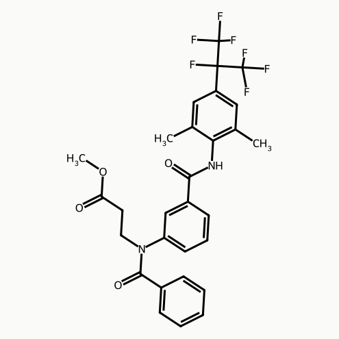 COC(=O)CCN(C(=O)c1ccccc1)c1cccc(C(=O)Nc2c(C)cc(C(F)(C(F)(F)F)C(F)(F)F)cc2C)c1